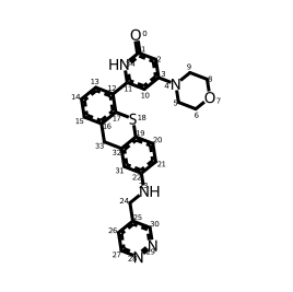 O=c1cc(N2CCOCC2)cc(-c2cccc3c2Sc2ccc(NCc4ccnnc4)cc2C3)[nH]1